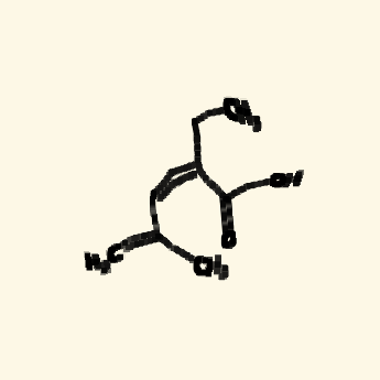 C=C(C)C=C(CC)C(=O)O